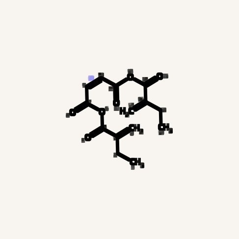 C=C(CC)C(=O)OC(=O)/C=C\C(=O)OC(=O)C(=C)CC